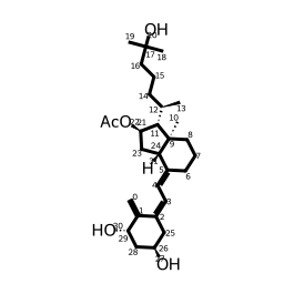 C=C1/C(=C\C=C2/CCC[C@]3(C)[C@@H]([C@H](C)CCCC(C)(C)O)[C@H](OC(C)=O)C[C@@H]23)C[C@@H](O)C[C@@H]1O